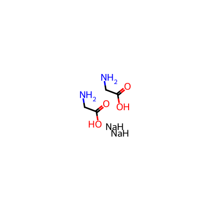 NCC(=O)O.NCC(=O)O.[NaH].[NaH]